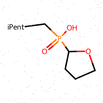 CCCC(C)CP(=O)(O)C1CCCO1